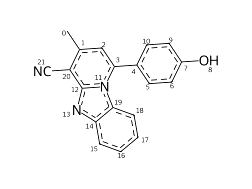 Cc1cc(-c2ccc(O)cc2)n2c(nc3ccccc32)c1C#N